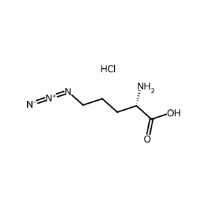 Cl.[N-]=[N+]=NCCC[C@H](N)C(=O)O